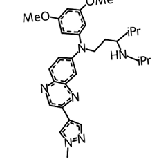 COc1cc(OC)cc(N(CCC(NC(C)C)C(C)C)c2ccc3ncc(-c4cnn(C)c4)nc3c2)c1